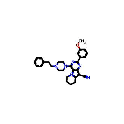 COc1cccc(-c2nc(N3CCN(CCc4ccccc4)CC3)c3c(n2)c(C#N)c2n3CCCC2)c1